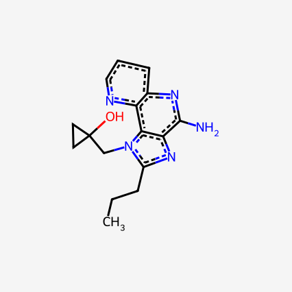 CCCc1nc2c(N)nc3cccnc3c2n1CC1(O)CC1